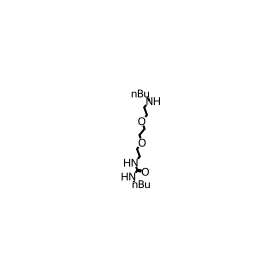 CCCCNCCOCCOCCNC(=O)NCCCC